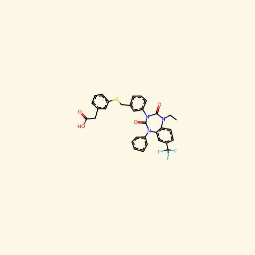 CCN1C(=O)N(c2cccc(CSc3cccc(CC(=O)O)c3)c2)C(=O)N(c2ccccc2)c2cc(C(F)(F)F)ccc21